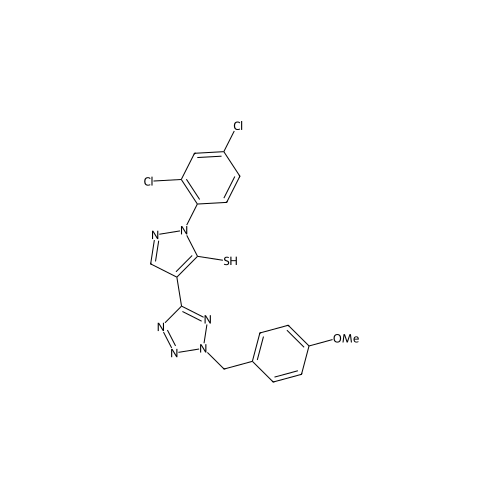 COc1ccc(Cn2nnc(-c3cnn(-c4ccc(Cl)cc4Cl)c3S)n2)cc1